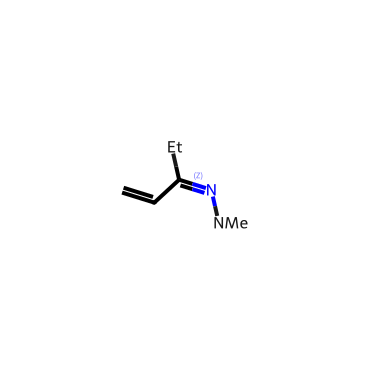 C=C/C(CC)=N\NC